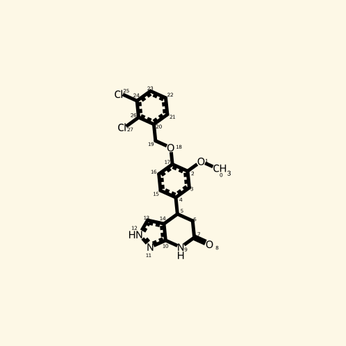 COc1cc(C2CC(=O)Nc3n[nH]cc32)ccc1OCc1cccc(Cl)c1Cl